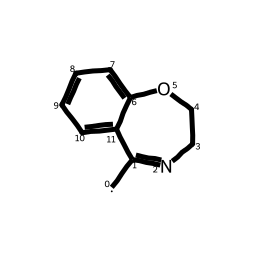 [CH2]C1=NCCOc2ccccc21